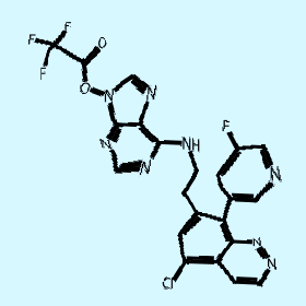 O=C(On1cnc2c(NCCc3cc(Cl)c4ccnnc4c3-c3cncc(F)c3)ncnc21)C(F)(F)F